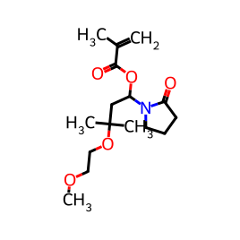 C=C(C)C(=O)OC(CC(C)(C)OCCOC)N1CCCC1=O